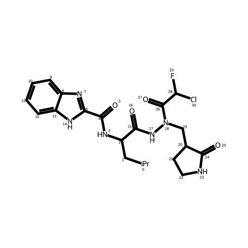 CC(C)CC(NC(=O)c1nc2ccccc2[nH]1)C(=O)NN(CC1CCNC1=O)C(=O)C(F)Cl